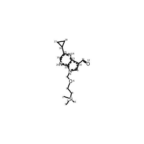 C[Si](C)(C)CCOCn1cc(C=O)c2nc(C3CC3)cnc21